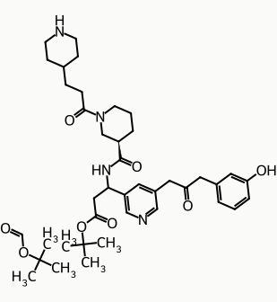 CC(C)(C)OC(=O)CC(NC(=O)[C@@H]1CCCN(C(=O)CCC2CCNCC2)C1)c1cncc(CC(=O)Cc2cccc(O)c2)c1.CC(C)(C)OC=O